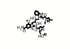 CCn1nc(C)cc1C(=O)/N=c1\n(C)c2ccccc2n1CC(O)C(O)Cn1/c(=N/C(=O)c2cc(C)nn2CC)n(C)c2cc(C(N)=O)cc(OC)c21.O=CO